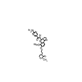 COc1c(OCCCN2CCOC(C)C2=O)ccc2c1N=C(NC(=O)c1cnc(N)nc1)N1CCN=C21